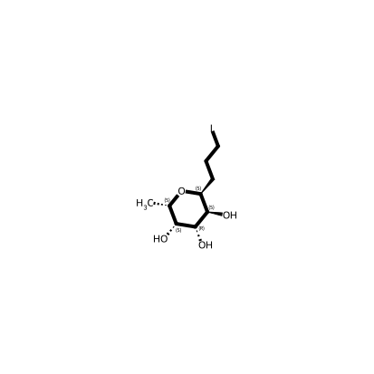 C[C@@H]1O[C@@H](CCCI)[C@@H](O)[C@H](O)[C@@H]1O